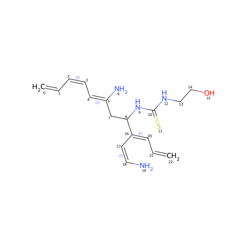 C=C/C=C\C=C(/N)CC(NC(=S)NCCO)C(/C=C\N)=C/C=C